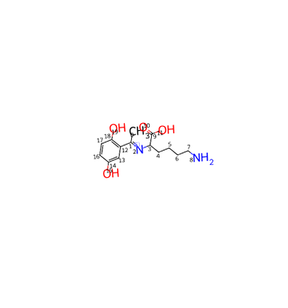 C/C(=N\C(CCCCN)C(=O)O)c1cc(O)ccc1O